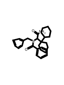 NC(=O)C(N(Cc1ccccc1)C(=O)c1ccccc1)C1(C2CCCCC2)CCCCC1